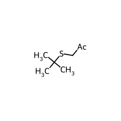 CC(=O)CSC(C)(C)C